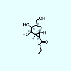 CCOC(=O)[C@@H]1[C@H]2O[C@H](CO)[C@H](O)[C@H](O)[C@H]21